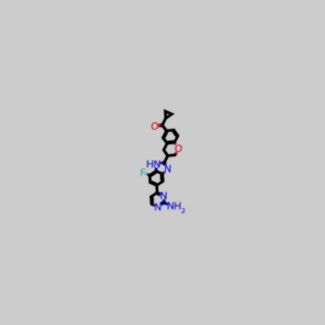 Nc1nccc(-c2cc(F)c3[nH]c(C4COc5ccc(C(=O)C6CC6)cc5C4)nc3c2)n1